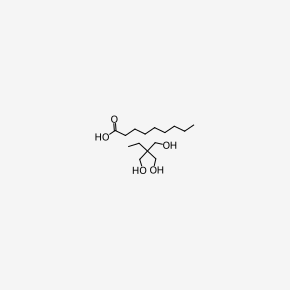 CCC(CO)(CO)CO.CCCCCCCCC(=O)O